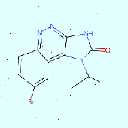 CC(C)n1c(=O)[nH]c2nnc3ccc(Br)cc3c21